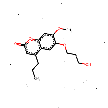 CCCc1cc(=O)oc2cc(OC)c(OCCCO)cc12